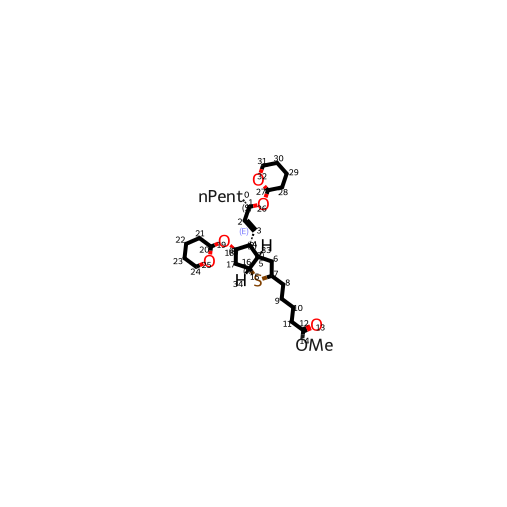 CCCCC[C@@H](/C=C/[C@@H]1[C@H]2CC(CCCCC(=O)OC)S[C@@H]2C[C@H]1OC1CCCCO1)OC1CCCCO1